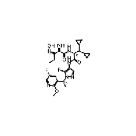 CC/C(=N/O)C(=N)C(=O)N[C@H](C(=O)Nc1cnn([C@@H](C)c2cc(F)cnc2OC)c1F)C(C1CC1)C1CC1